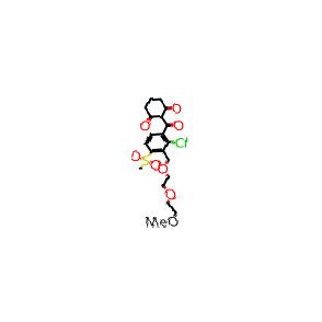 COCCOCCOCc1c(S(C)(=O)=O)ccc(C(=O)C2C(=O)CCCC2=O)c1Cl